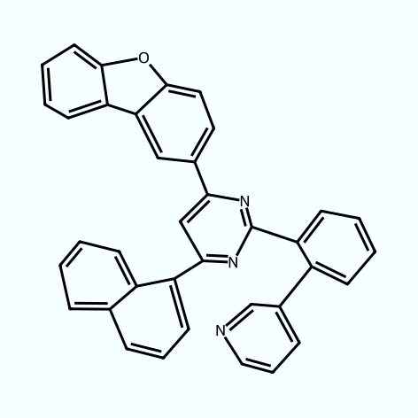 c1cncc(-c2ccccc2-c2nc(-c3ccc4oc5ccccc5c4c3)cc(-c3cccc4ccccc34)n2)c1